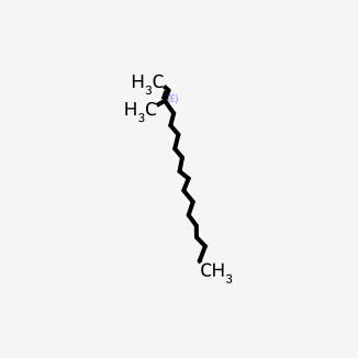 C/C=C(\C)CCCCCCCCCCCCCCC